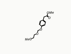 COCCOCOc1ccc(CC(=O)OC)cc1